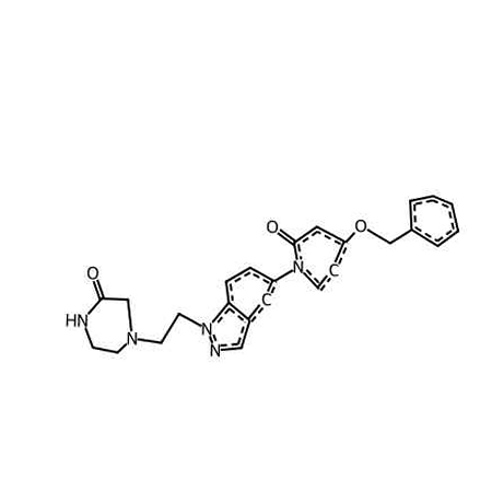 O=C1CN(CCn2ncc3cc(-n4ccc(OCc5ccccc5)cc4=O)ccc32)CCN1